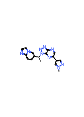 C[C@@H](c1ccc2nccn2c1)n1nnc2ncc(-c3cnn(C)c3)nc21